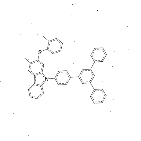 Cc1ccccc1Sc1cc2c(cc1C)c1ccccc1n2-c1ccc(-c2cc(-c3ccccc3)cc(-c3ccccc3)c2)cc1